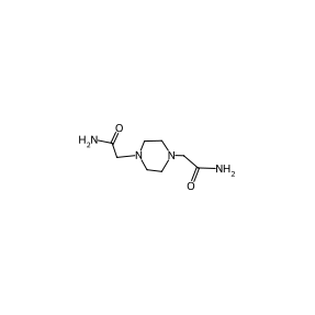 NC(=O)CN1CCN(CC(N)=O)CC1